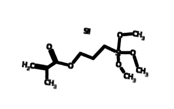 C=C(C)C(=O)OCCC[Si](OC)(OC)OC.[Si]